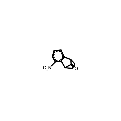 O=C1C2CCC1c1c2cccc1[N+](=O)[O-]